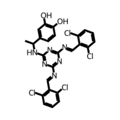 CC(Nc1nc(N=Cc2c(Cl)cccc2Cl)nc(N=Cc2c(Cl)cccc2Cl)n1)c1ccc(O)c(O)c1